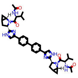 CC(=O)N[C@H](C(=O)N1[C@@H]2CC2C[C@H]1c1nc(-c2ccc(-c3ccc(-c4c[nH]c([C@@H]5CC6C[C@H]6N5C(=O)[C@@H](NC(C)=O)C(C)C)n4)cc3)cc2)c[nH]1)C(C)C